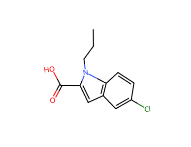 CCCn1c(C(=O)O)cc2cc(Cl)ccc21